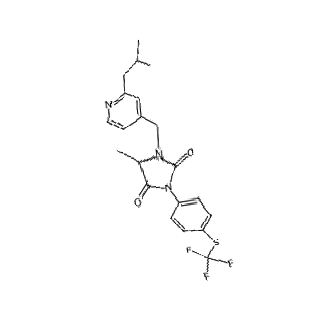 CC(C)Cc1cc(CN2C(=O)N(c3ccc(SC(F)(F)F)cc3)C(=O)C2C)ccn1